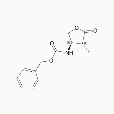 C[C@H]1C(=O)OC[C@@H]1NC(=O)OCc1ccccc1